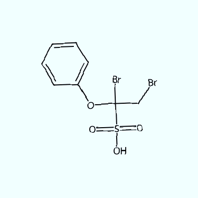 O=S(=O)(O)C(Br)(CBr)Oc1ccccc1